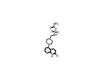 Cn1c(=O)ccc2c(N3CCC(CNS(=O)(=O)OC(N)=O)CC3)ccnc21